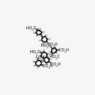 O=C(O)c1cc(C(=O)O)cc(C(=O)O)c1.O=C(O)c1ccc(-c2ccc(C(=O)O)cc2)cc1.O=C(O)c1ccc2cc(C(=O)O)ccc2c1.O=C(O)c1cccc(C(=O)O)c1